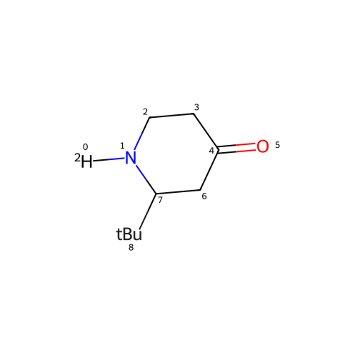 [2H]N1CCC(=O)CC1C(C)(C)C